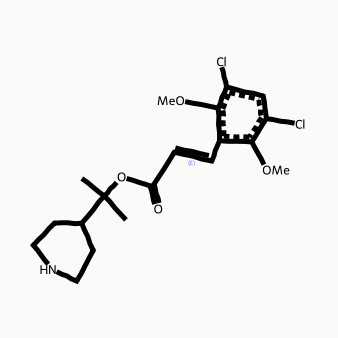 COc1c(Cl)cc(Cl)c(OC)c1/C=C/C(=O)OC(C)(C)C1CCNCC1